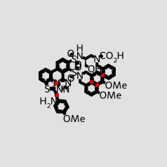 COc1ccc(CN(Cc2ccc(OC)cc2)S(=O)(=O)c2c(S(=O)(=O)N[C@H](CO)CN(Cc3ccccc3)C(=O)O)ccc(-c3cccc4sc(CN)nc34)c2-c2nnn(Cc3ccc(OC)cc3)n2)cc1